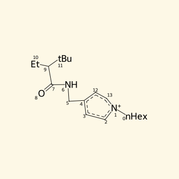 CCCCCC[n+]1ccc(CNC(=O)C(CC)C(C)(C)C)cc1